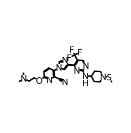 CSN1CCC(Nc2ncc(C(F)(F)F)c(-c3cn(-c4ccc(OCCN(C)C)nc4C#N)cn3)n2)CC1